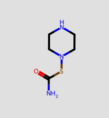 NC(=O)SN1CCNCC1